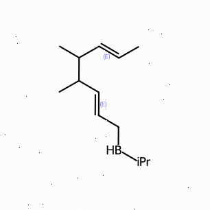 C/C=C/C(C)C(C)/C=C/CBC(C)C